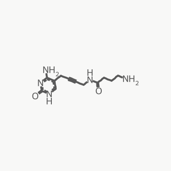 NCCCC(=O)NCC#CCc1c[nH]c(=O)nc1N